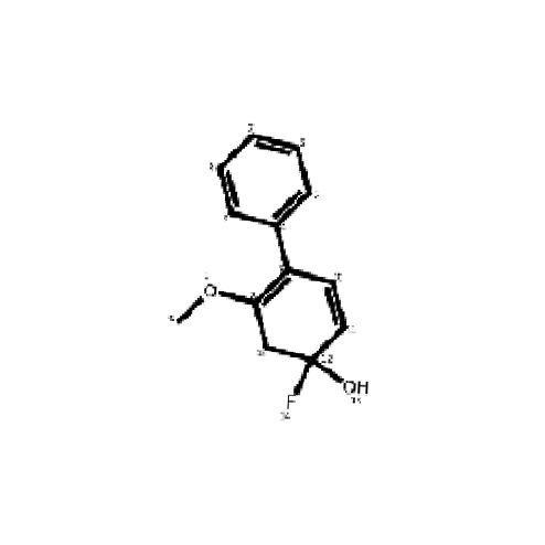 COC1=C(c2ccccc2)C=CC(O)(F)C1